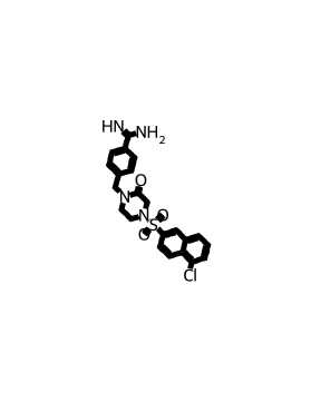 N=C(N)c1ccc(CN2CCN(S(=O)(=O)c3ccc4c(Cl)cccc4c3)CC2=O)cc1